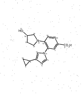 O=C(O)c1cc(-n2cnc(C3CC3)c2)c(N2CCC(O)C2)cn1